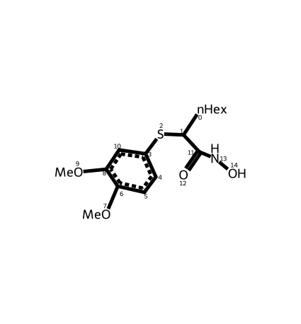 CCCCCCC(Sc1ccc(OC)c(OC)c1)C(=O)NO